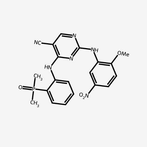 COc1ccc([N+](=O)[O-])cc1Nc1ncc(C#N)c(Nc2ccccc2P(C)(C)=O)n1